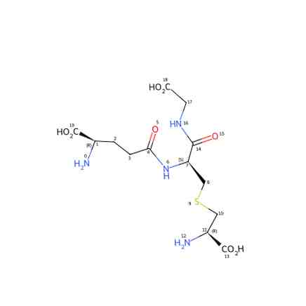 N[C@H](CCC(=O)N[C@H](CSC[C@H](N)C(=O)O)C(=O)NCC(=O)O)C(=O)O